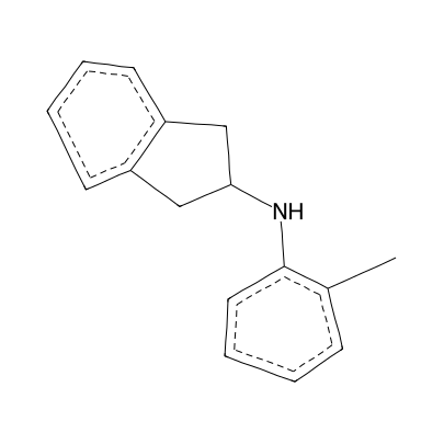 Cc1ccccc1NC1Cc2ccccc2C1